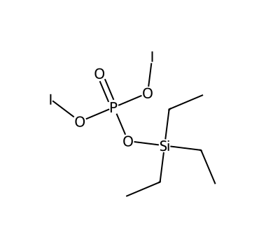 CC[Si](CC)(CC)OP(=O)(OI)OI